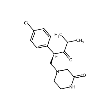 CC(C)C(=O)[C@@H](CN1CCNC(=O)C1)c1ccc(Cl)cc1